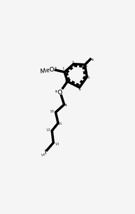 COc1cc(C)ccc1OCCCCCI